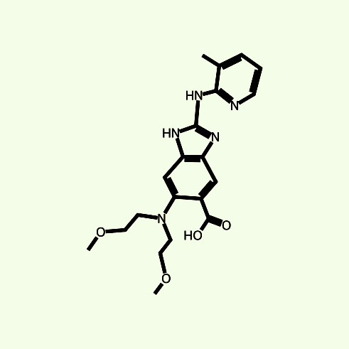 COCCN(CCOC)c1cc2[nH]c(Nc3ncccc3C)nc2cc1C(=O)O